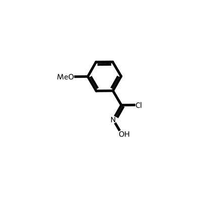 COc1cccc(C(Cl)=NO)c1